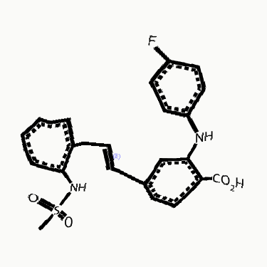 CS(=O)(=O)Nc1ccccc1/C=C/c1ccc(C(=O)O)c(Nc2ccc(F)cc2)c1